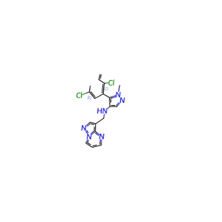 C=C/C(Cl)=C(\C=C(/C)Cl)c1c(NCc2cnn3cccnc23)cnn1C